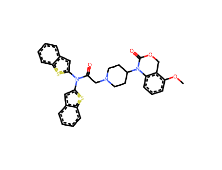 COc1cccc2c1COC(=O)N2C1CCN(CC(=O)N(c2cc3ccccc3s2)c2cc3ccccc3s2)CC1